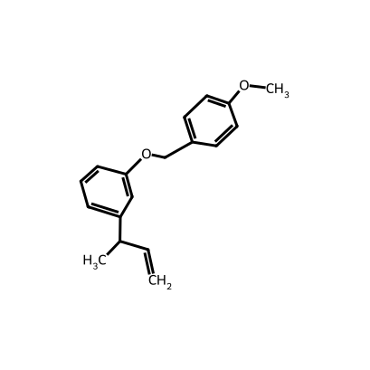 C=CC(C)c1cccc(OCc2ccc(OC)cc2)c1